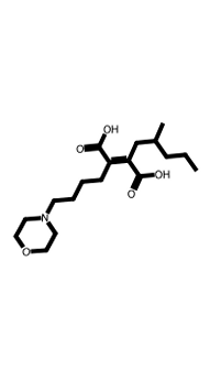 CCCC(C)CC(C(=O)O)=C(CCCCN1CCOCC1)C(=O)O